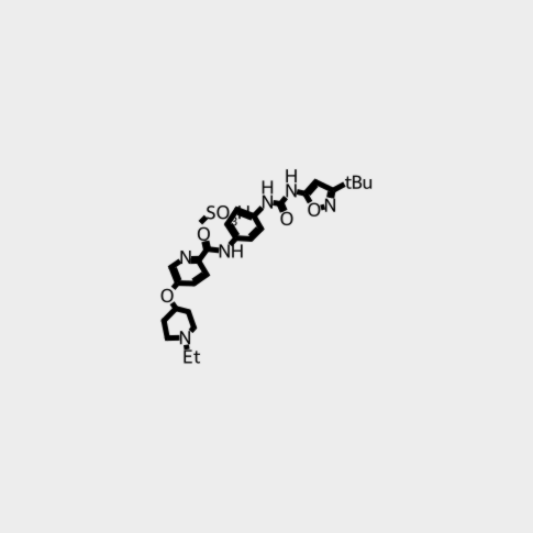 CCN1CCC(Oc2ccc(C(=O)Nc3ccc(NC(=O)Nc4cc(C(C)(C)C)no4)cc3)nc2)CC1.CS(=O)(=O)O